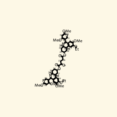 CCOc1cc2c(cc1OC)C(c1cnc(OC)cc1OC)=N[C@@H]1CC[C@@H](OC(=O)CCC(=O)C(=O)O[C@@H]3CC[C@H]4N=C(c5cnc(OC)cc5OC)c5cc(OC)c(OCC)cc5[C@H]4C3)C[C@H]21